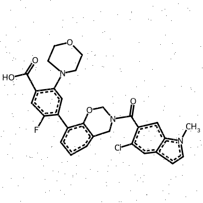 Cn1ccc2cc(Cl)c(C(=O)N3COc4c(cccc4-c4cc(N5CCOCC5)c(C(=O)O)cc4F)C3)cc21